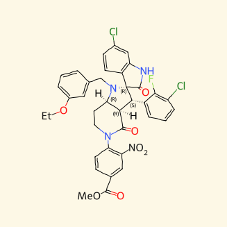 CCOc1cccc(CN2[C@@H]3CCN(c4ccc(C(=O)OC)cc4[N+](=O)[O-])C(=O)[C@@H]3[C@@H](c3cccc(Cl)c3F)[C@@]23C(=O)Nc2cc(Cl)ccc23)c1